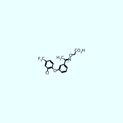 C/C(=N\OCC(=O)O)c1cccc(Oc2ccc(C(F)(F)F)cc2Cl)c1